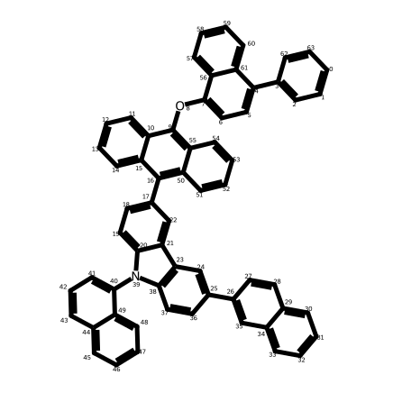 c1ccc(-c2ccc(Oc3c4ccccc4c(-c4ccc5c(c4)c4cc(-c6ccc7ccccc7c6)ccc4n5-c4cccc5ccccc45)c4ccccc34)c3ccccc23)cc1